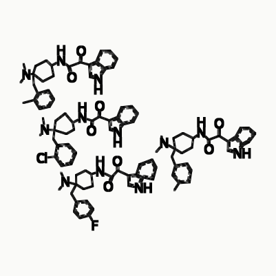 CN(C)C1(Cc2ccc(F)cc2)CCC(NC(=O)C(=O)c2c[nH]c3ccccc23)CC1.CN(C)C1(Cc2ccccc2Cl)CCC(NC(=O)C(=O)c2c[nH]c3ccccc23)CC1.Cc1cccc(CC2(N(C)C)CCC(NC(=O)C(=O)c3c[nH]c4ccccc34)CC2)c1.Cc1ccccc1CC1(N(C)C)CCC(NC(=O)C(=O)c2c[nH]c3ccccc23)CC1